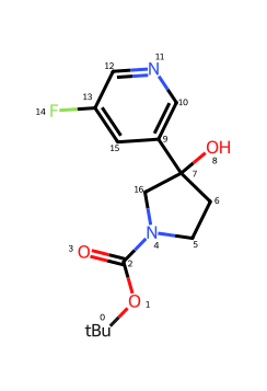 CC(C)(C)OC(=O)N1CCC(O)(c2cncc(F)c2)C1